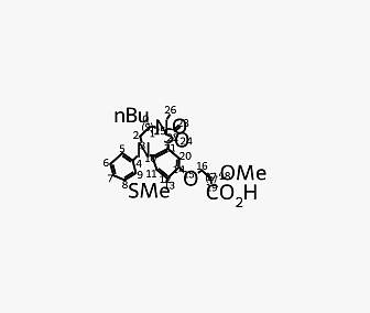 CCCC[C@H]1CN(c2ccccc2)c2cc(SC)c(OC[C@H](OC)C(=O)O)cc2S(=O)(=O)N1C